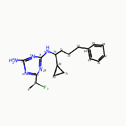 C[C@H](F)c1nc(N)nc(NC(CCCc2ccccc2)C2CC2)n1